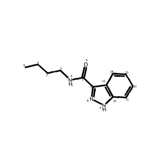 CCCCNC(=O)c1n[nH]c2ccc[c]c12